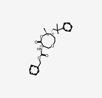 C[C@@H]1OC(=O)[C@@H](NC(=O)OCc2ccccc2)COCC[C@H]1CC(C)(C)c1ccccc1